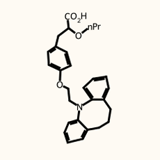 CCCOC(Cc1ccc(OCCN2c3ccccc3CCCc3ccccc32)cc1)C(=O)O